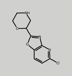 Clc1ccc2oc(C3CNCCO3)nc2n1